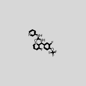 O=C(Nc1cccnc1)N[C@@H](c1ccc(OC(F)(F)F)c(F)c1)c1ncccc1F